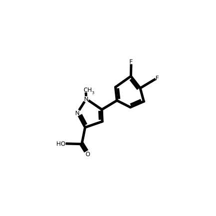 Cn1nc(C(=O)O)cc1-c1ccc(F)c(F)c1